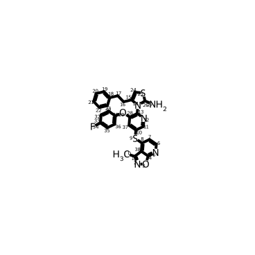 Cc1noc2nccc(Sc3cnc(N4C(CCc5ccccc5)=CSC4N)c(Oc4ccc(F)cc4)c3)c12